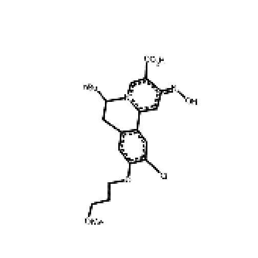 CCCCC1Cc2cc(OCCCOC)c(Cl)cc2-c2cc(=NO)c(C(=O)O)cn21